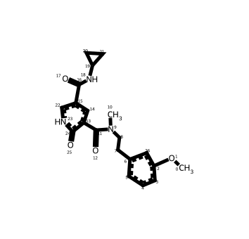 COc1cccc(CCN(C)C(=O)c2cc(C(=O)NC3CC3)c[nH]c2=O)c1